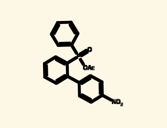 CC(=O)OP(=O)(c1ccccc1)c1ccccc1-c1ccc([N+](=O)[O-])cc1